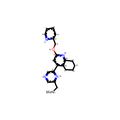 CNCc1cncc(-c2cc(OCc3ccccn3)nc3c2CCCC3)n1